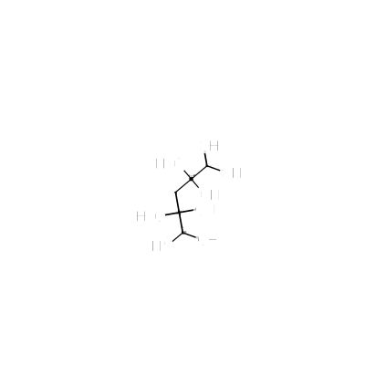 CC(C)C(C)(C)CC(C)(C)C(C)S